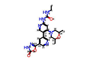 CCNC(=O)Nc1cc(N2CC(C)OC(C)C2)c(-c2cncc(-c3n[nH]c(=O)o3)c2)cn1